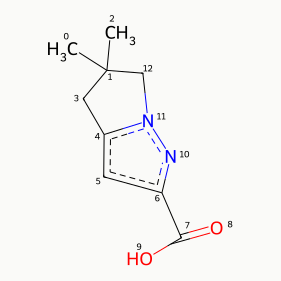 CC1(C)Cc2cc(C(=O)O)nn2C1